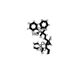 C=CC(O)[C@]1(O[Si](CC)(CC)CC)C[C@]1(F)CCC(C)(C)[Si](O)(c1ccccc1)c1ccccc1